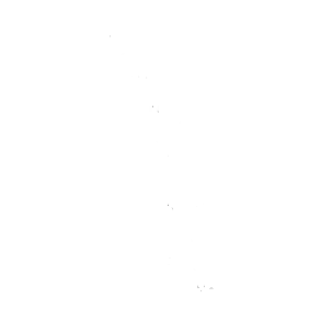 CSc1ccc(-c2nc(CSCC(=O)NCc3ccc(C)cc3)c(C)o2)cc1